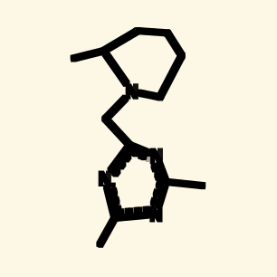 Cc1nc(C)nc(CN2CCCCC2C)n1